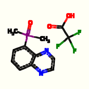 CP(C)(=O)c1cccc2nccnc12.O=C(O)C(F)(F)F